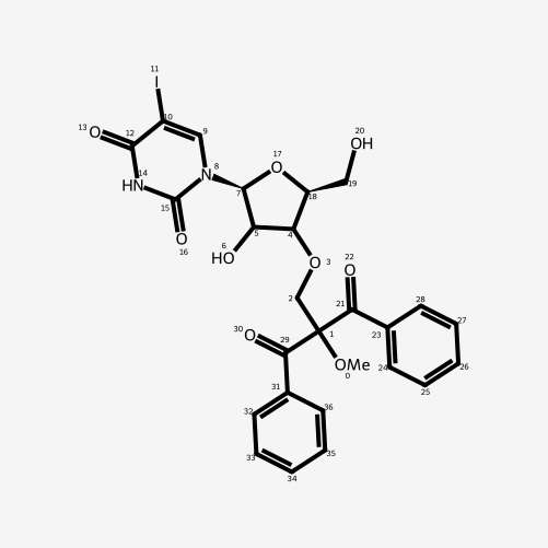 COC(COC1C(O)[C@@H](n2cc(I)c(=O)[nH]c2=O)O[C@H]1CO)(C(=O)c1ccccc1)C(=O)c1ccccc1